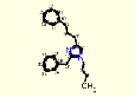 CCCCn1cc(CCCc2ccccc2)nc1Cc1ccccc1